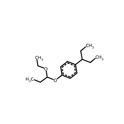 CCOC(CC)Oc1ccc(C(CC)CC)cc1